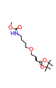 COC(=O)NCCCCOC/C=C/B1OC(C)(C)C(C)(C)O1